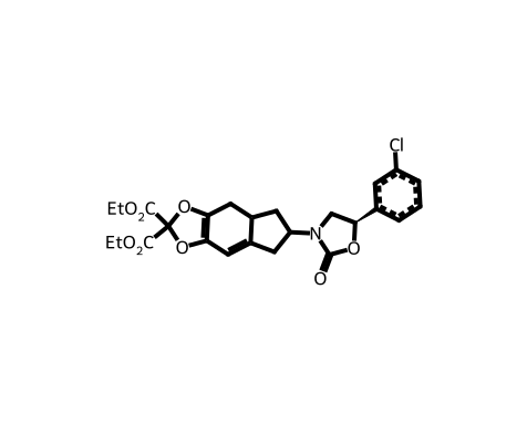 CCOC(=O)C1(C(=O)OCC)OC2=C(CC3CC(N4C[C@@H](c5cccc(Cl)c5)OC4=O)CC3=C2)O1